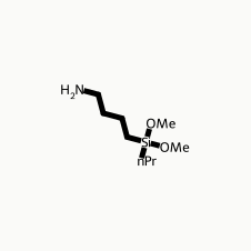 CCC[Si](CCCCN)(OC)OC